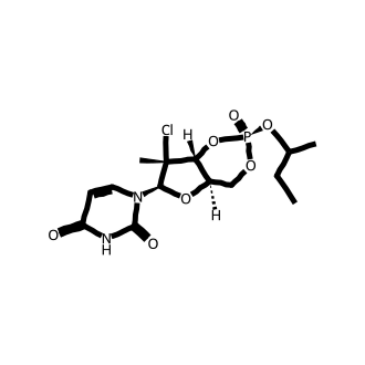 CCC(C)O[P@@]1(=O)OC[C@H]2O[C@@H](n3ccc(=O)[nH]c3=O)[C@](C)(Cl)[C@@H]2O1